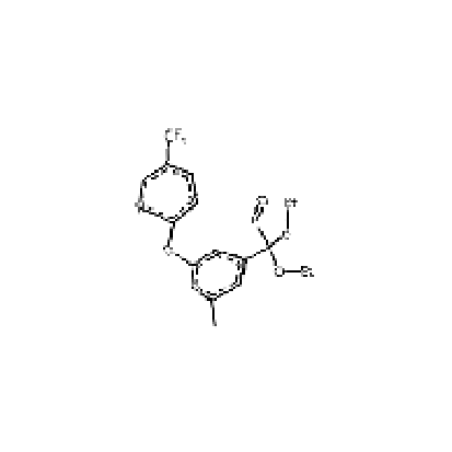 CCOC(OCC)(P=O)c1cc(C)cc(Oc2ccc(C(F)(F)F)cn2)c1